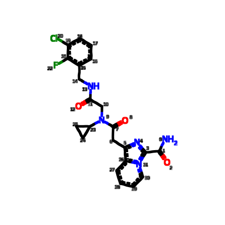 NC(=O)c1nc(CC(=O)N(CC(=O)NCc2cccc(Cl)c2F)C2CC2)c2ccccn12